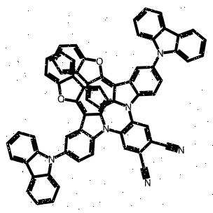 N#Cc1cc(-n2c3ccc(-n4c5ccccc5c5ccccc54)cc3c3c4oc5ccccc5c4ccc32)c(-n2c3ccc(-n4c5ccccc5c5ccccc54)cc3c3c4oc5ccccc5c4ccc32)cc1C#N